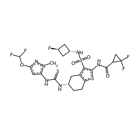 Cn1nc(OC(F)F)cc1NC(=S)N[C@H]1CCc2sc(NC(=O)C3CC3(F)F)c(S(=O)(=O)N[C@H]3C[C@H](F)C3)c2C1